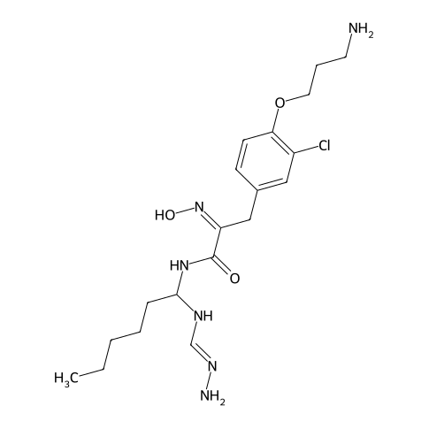 CCCCCC(NC=NN)NC(=O)C(Cc1ccc(OCCCN)c(Cl)c1)=NO